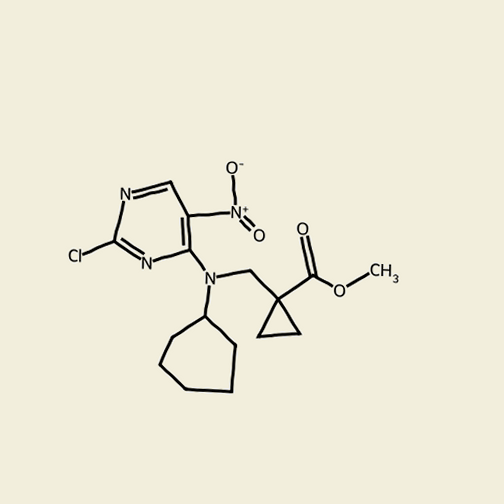 COC(=O)C1(CN(c2nc(Cl)ncc2[N+](=O)[O-])C2CCCCC2)CC1